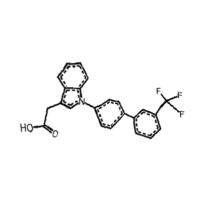 O=C(O)Cc1cn(-c2ccc(-c3cccc(C(F)(F)F)c3)cc2)c2ccccc12